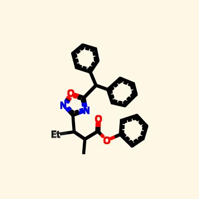 CCC(c1noc(C(c2ccccc2)c2ccccc2)n1)C(C)C(=O)Oc1ccccc1